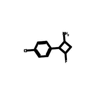 NC1CC(F)C1c1ccc(Cl)cc1